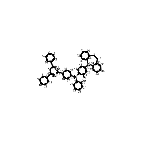 c1ccc(-c2nc(-c3ccccc3)nc(-c3ccc(N4c5ccccc5Oc5cc(N6c7ccccc7CCc7ccccc76)ccc54)cc3)n2)cc1